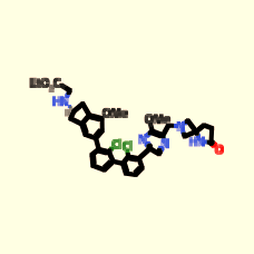 CCOC(=O)CN[C@H]1Cc2cc(-c3cccc(-c4cccc(-c5cnc(CN6CC7(CCC(=O)N7)C6)c(OC)n5)c4Cl)c3Cl)cc(OC)c2C1